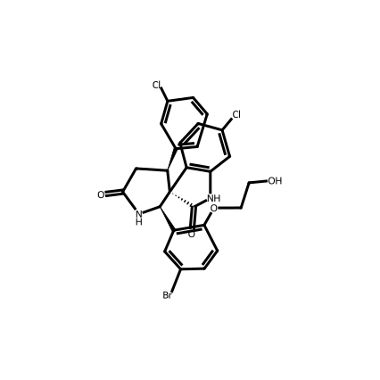 O=C1C[C@@H](c2cccc(Cl)c2)[C@]2(C(=O)Nc3cc(Cl)ccc32)[C@@H](c2cc(Br)ccc2OCCO)N1